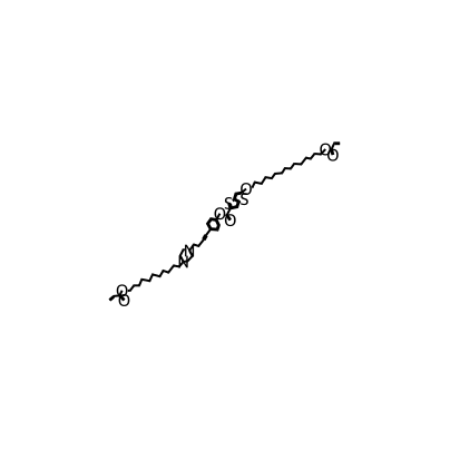 C=CC(=O)OCCCCCCCCCCCCCCCOc1cc2sc(C(=O)Oc3ccc(C#CCCN4CCN(CCCCCCCCCCCOC(=O)C=C)CC4)cc3)cc2s1